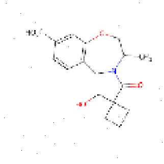 CC1COc2cc(C(=O)O)ccc2CN1C(=O)C1(CO)CCC1